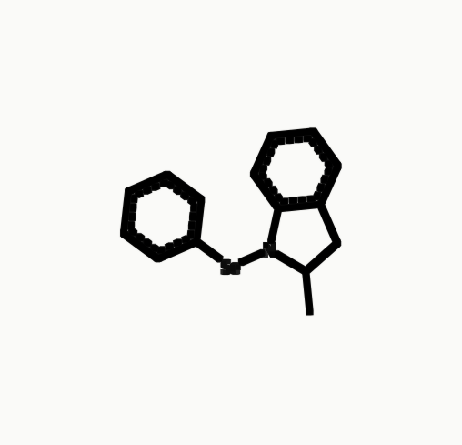 CC1Cc2ccccc2N1[Se]c1ccccc1